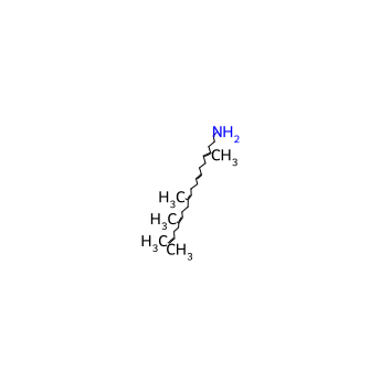 CC(C)=CCC/C(C)=C/CC/C(C)=C/CC/C=C/CC/C=C(\C)CCCN